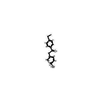 CCc1ccc(C(=O)Cc2ccc(Br)cc2)cc1